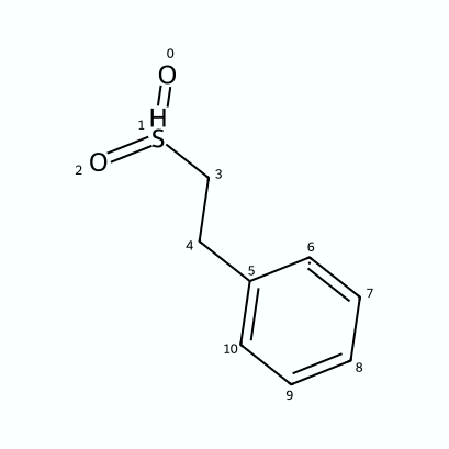 O=[SH](=O)CCc1[c]cccc1